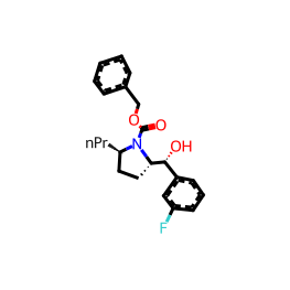 CCC[C@@H]1CC[C@@H]([C@H](O)c2cccc(F)c2)N1C(=O)OCc1ccccc1